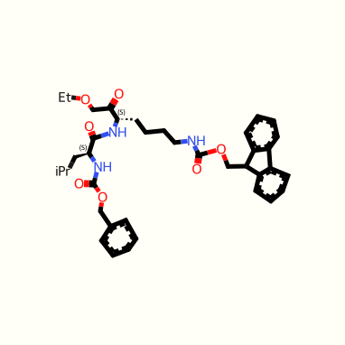 CCOCC(=O)[C@H](CCCCNC(=O)OCC1c2ccccc2-c2ccccc21)NC(=O)[C@H](CC(C)C)NC(=O)OCc1ccccc1